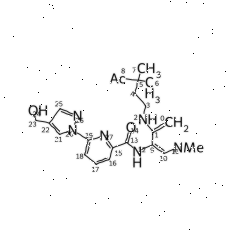 C=C(NCCC(C)(C)C(C)=O)/C(=C\NC)NC(=O)c1cccc(-n2cc(CO)cn2)n1